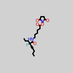 CCCC#CC(F)(CCC)C(=O)NCCCCCC(=O)ON1C(=O)CCC1=O